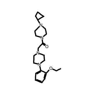 CCOc1ccccc1N1CCN(CC(=O)N2CCN(C3CCC3)CC2)CC1